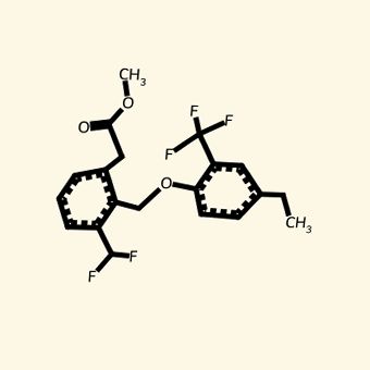 CCc1ccc(OCc2c(CC(=O)OC)cccc2C(F)F)c(C(F)(F)F)c1